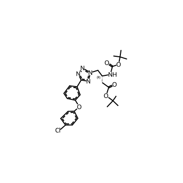 CC(C)(C)OC(=O)C[C@H](Cn1nnc(-c2cccc(Oc3ccc(Cl)cc3)c2)n1)NC(=O)OC(C)(C)C